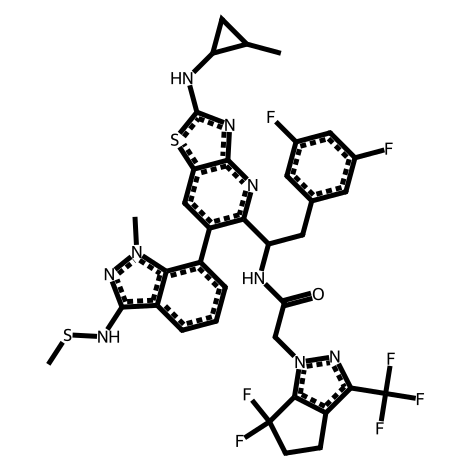 CSNc1nn(C)c2c(-c3cc4sc(NC5CC5C)nc4nc3C(Cc3cc(F)cc(F)c3)NC(=O)Cn3nc(C(F)(F)F)c4c3C(F)(F)CC4)cccc12